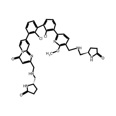 COc1nc(-c2cccc(-c3cccc(-c4ccn5c(=O)cc(CNC[C@@H]6CCC(=O)N6)nc5c4)c3Cl)c2Cl)ccc1CNC[C@H]1CCC(=O)N1